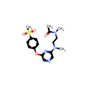 CC(=O)N(C)CCN(C)c1cncc(Oc2ccc(S(C)(=O)=O)cc2)n1